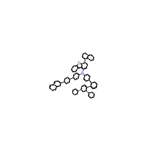 c1ccc(-c2ccc(-c3ccccc3-c3ccc(N(c4ccc(-c5ccc(-c6ccc7ccccc7c6)cc5)cc4)c4ccc(-c5cccc6ccccc56)c5oc6ccccc6c45)cc3)c(-c3ccccc3)c2)cc1